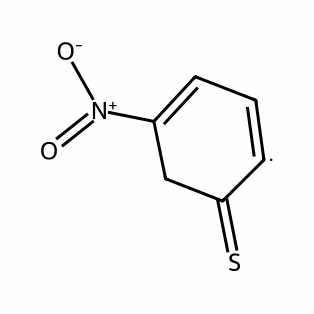 O=[N+]([O-])C1=CC=[C]C(=S)C1